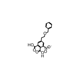 O=C(O)c1cc(CCOCc2ccccc2)cc([N+](=O)[O-])c1C(=O)O